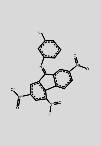 O=[N+]([O-])c1ccc2c(c1)/C(=N\c1cccc(Cl)c1)c1cc([N+](=O)[O-])cc([N+](=O)[O-])c1-2